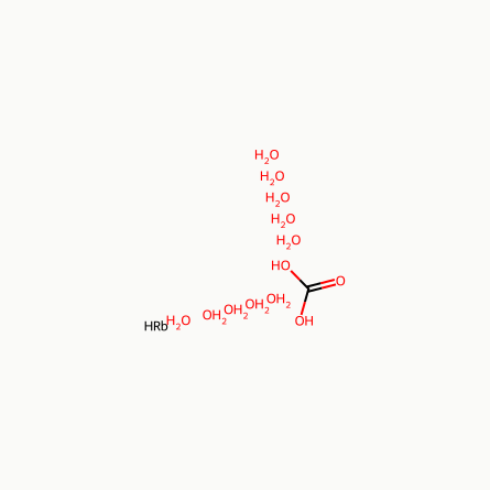 O.O.O.O.O.O.O.O.O.O.O=C(O)O.[RbH]